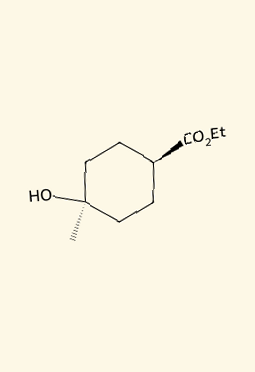 CCOC(=O)[C@H]1CC[C@@](C)(O)CC1